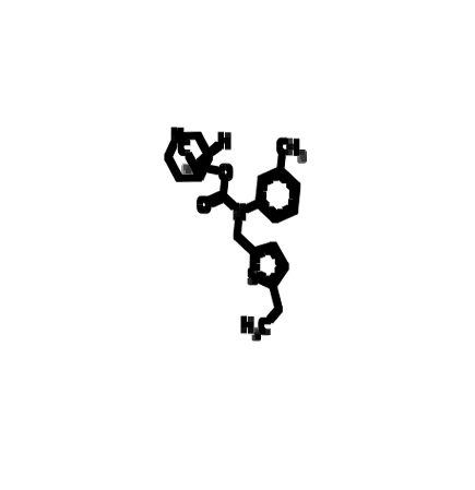 CCc1ccc(CN(C(=O)O[C@H]2CN3CCC2CC3)c2cccc(C)c2)s1